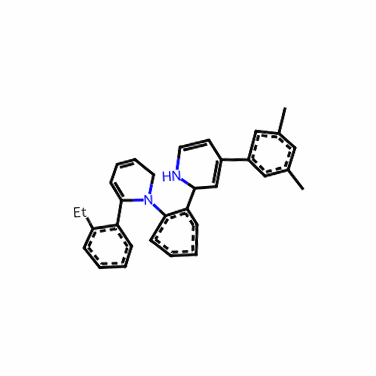 CCc1ccccc1C1=CC=CCN1c1ccccc1C1C=C(c2cc(C)cc(C)c2)C=CN1